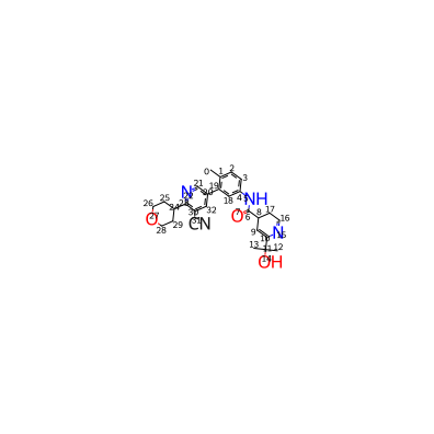 Cc1ccc(NC(=O)C2C=C(C(C)(C)O)N=CC2)cc1-c1cnc(C2CCOCC2)c(C#N)c1